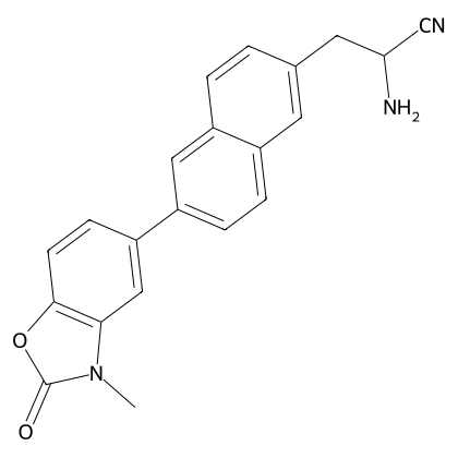 Cn1c(=O)oc2ccc(-c3ccc4cc(CC(N)C#N)ccc4c3)cc21